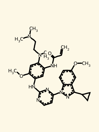 C=CC(=O)Nc1cc(Nc2nccc(-n3nc(C4CC4)c4cc(OC)ccc43)n2)c(OC)cc1N(C)CCN(C)C